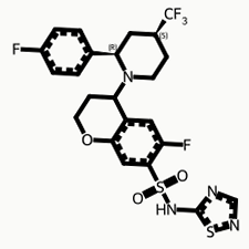 O=S(=O)(Nc1ncns1)c1cc2c(cc1F)C(N1CC[C@H](C(F)(F)F)C[C@@H]1c1ccc(F)cc1)CCO2